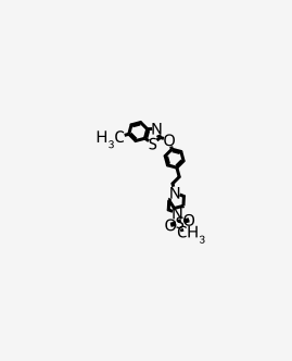 Cc1ccc2nc(Oc3ccc(CCN4CC5CC4CN5S(C)(=O)=O)cc3)sc2c1